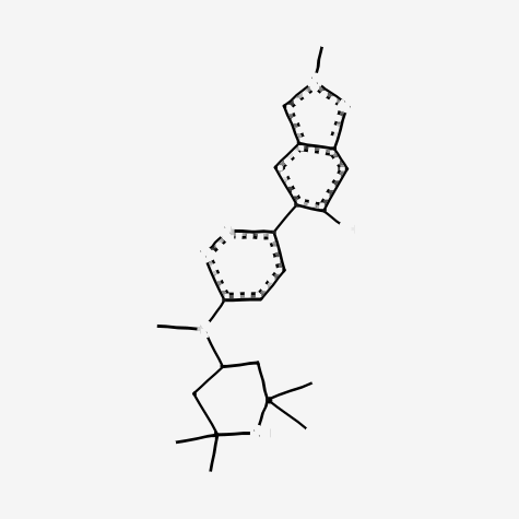 CN(c1ccc(-c2cc3cn(C)nc3cc2O)nn1)C1CC(C)(C)NC(C)(C)C1